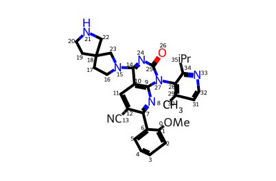 COc1ccccc1-c1nc2c(cc1C#N)c(N1CCC3(CCNC3)C1)nc(=O)n2-c1c(C)ccnc1C(C)C